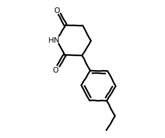 CCc1ccc(C2CCC(=O)NC2=O)cc1